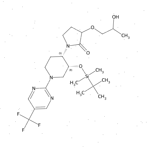 CC(O)COC1CCN([C@H]2CCN(c3ncc(C(F)(F)F)cn3)C[C@H]2O[Si](C)(C)C(C)(C)C)C1=O